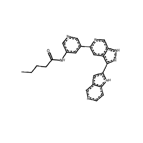 CCCCC(=O)Nc1cncc(-c2cc3c(-c4cc5cnccc5[nH]4)n[nH]c3cn2)c1